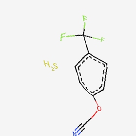 N#COc1ccc(C(F)(F)F)cc1.S